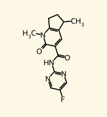 CC1CCc2c1cc(C(=O)Nc1ncc(F)cn1)c(=O)n2C